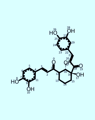 O=C(C=Cc1ccc(O)c(O)c1)C1CCC[C@@](O)(C(=O)C=Cc2ccc(O)c(O)c2)[C@H]1O